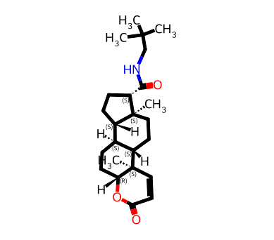 CC(C)(C)CNC(=O)[C@H]1CC[C@H]2[C@@H]3CC[C@H]4OC(=O)C=C[C@]4(C)[C@H]3CC[C@]12C